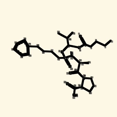 CCCCC(=O)OC(OP(=O)(CCCCc1ccccc1)N[C@@H](C)C(=O)N1CCC[C@H]1C(=O)O)C(C)C